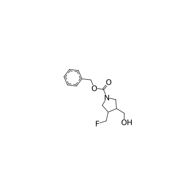 O=C(OCc1ccccc1)N1CC(CO)C(CF)C1